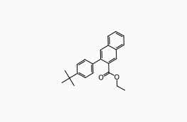 CCOC(=O)c1cc2ccccc2cc1-c1ccc(C(C)(C)C)cc1